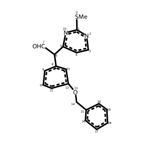 CSc1nccc(C(C=O)c2cccc(OCc3ccccc3)c2)n1